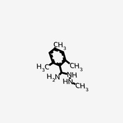 CNNC(N)c1c(C)cc(C)cc1C